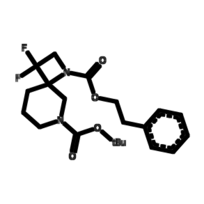 CC(C)(C)OC(=O)N1CCCC2(C1)N(C(=O)OCCc1ccccc1)CC2(F)F